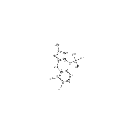 Fc1cccc(Oc2nc(Br)nn2CC(F)(F)F)c1F